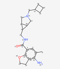 Cc1cc(C(=O)NCC2C3CN(CC4CCC4)CC23)c2c(c1N)CCO2